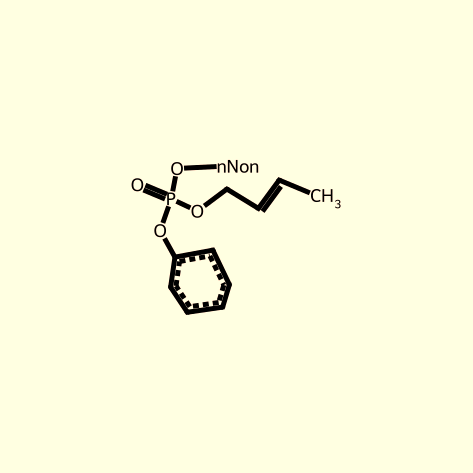 CC=CCOP(=O)(OCCCCCCCCC)Oc1ccccc1